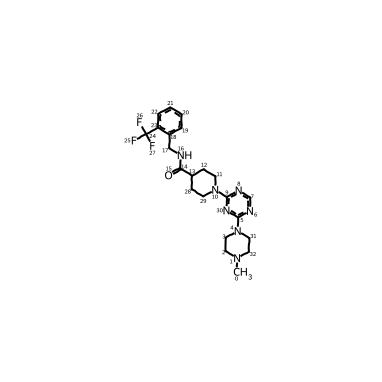 CN1CCN(c2ncnc(N3CCC(C(=O)NCc4ccccc4C(F)(F)F)CC3)n2)CC1